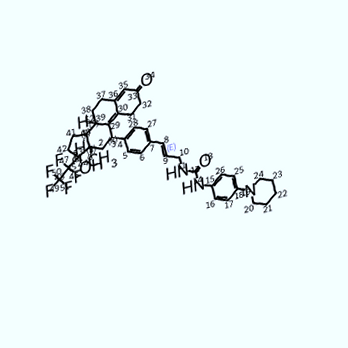 C[C@]12C[C@H](c3ccc(/C=C/CNC(=O)Nc4ccc(N5CCCCC5)cc4)cc3)C3=C4CCC(=O)C=C4CC[C@H]3[C@@H]1CC[C@@]2(O)C(F)(F)C(F)(F)F